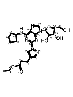 CCOC(=O)CCc1cnn(-c2nc(NC3CCCC3)c3ncn([C@@H]4O[C@@H](CO)[C@H](O)[C@H]4O)c3n2)c1